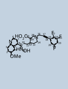 COc1ccc2nccc([C@H](CC[C@@H]3CCN(CC#Cc4cc(F)cc(F)c4F)C[C@@H]3C(=O)O)NO)c2c1